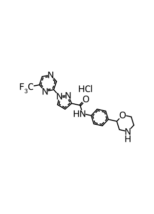 Cl.O=C(Nc1ccc(C2CNCCO2)cc1)c1ccn(-c2cncc(C(F)(F)F)n2)n1